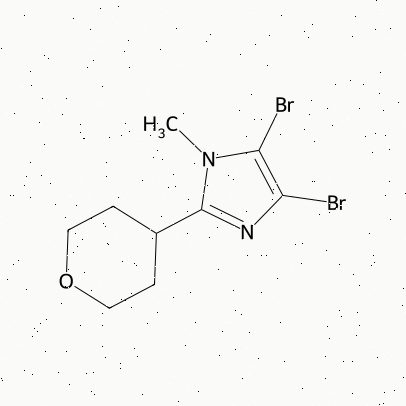 Cn1c(C2CCOCC2)nc(Br)c1Br